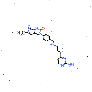 Cc1cc2cn(-c3ccc(CNCCCc4ccnc(N)n4)cc3)c(=O)nc2[nH]1